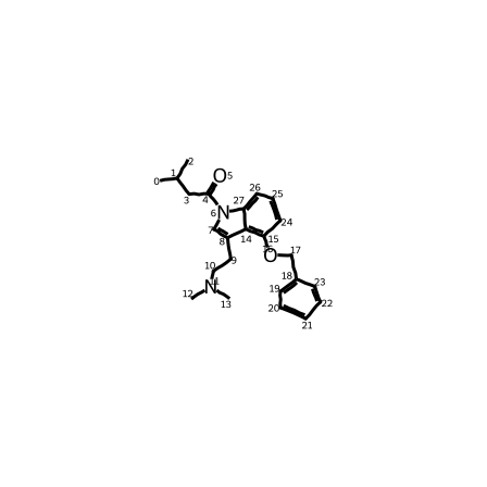 CC(C)CC(=O)n1cc(CCN(C)C)c2c(OCc3ccccc3)cccc21